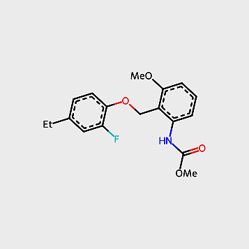 CCc1ccc(OCc2c(NC(=O)OC)cccc2OC)c(F)c1